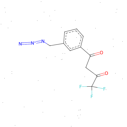 [N-]=[N+]=NCc1cccc(C(=O)CC(=O)C(F)(F)F)c1